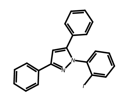 Ic1ccccc1-n1nc(-c2ccccc2)cc1-c1ccccc1